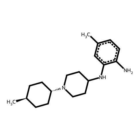 Cc1ccc(N)c(NC2CCN([C@H]3CC[C@H](C)CC3)CC2)c1